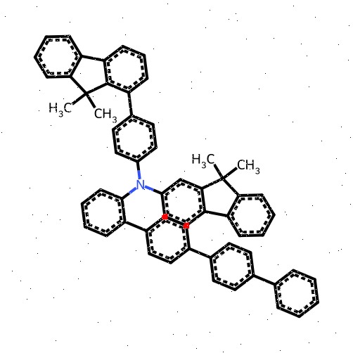 CC1(C)c2ccccc2-c2ccc(N(c3ccc(-c4cccc5c4C(C)(C)c4ccccc4-5)cc3)c3ccccc3-c3ccc(-c4ccc(-c5ccccc5)cc4)cc3)cc21